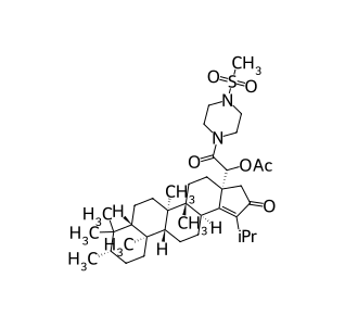 CC(=O)OC(C(=O)N1CCN(S(C)(=O)=O)CC1)[C@@]12CC[C@]3(C)[C@H](CC[C@@H]4[C@@]5(C)CC[C@H](C)C(C)(C)[C@@H]5CC[C@]43C)C1=C(C(C)C)C(=O)C2